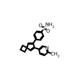 Cc1ccc(C2=CC3(C=C2c2ccc(S(N)(=O)=O)cc2)CCC3)cn1